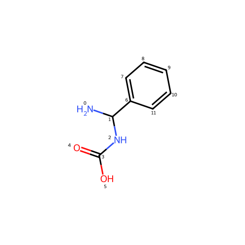 NC(NC(=O)O)c1ccccc1